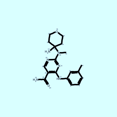 Cc1cccc(Nc2nc(N(C)C3(N)CCOCC3)ncc2C(N)=O)c1